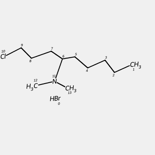 Br.CCCCCC(CCCCl)N(C)C